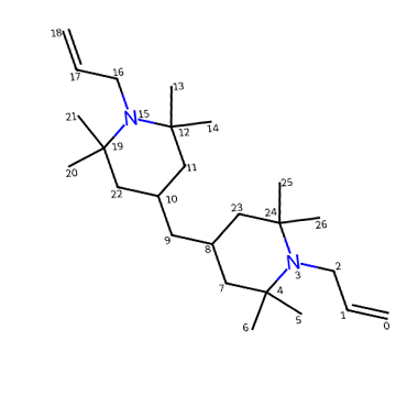 C=CCN1C(C)(C)CC(CC2CC(C)(C)N(CC=C)C(C)(C)C2)CC1(C)C